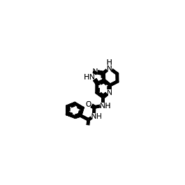 CC(NC(=O)Nc1cc2[nH]nc3c2c(n1)CCN3)c1ccccc1